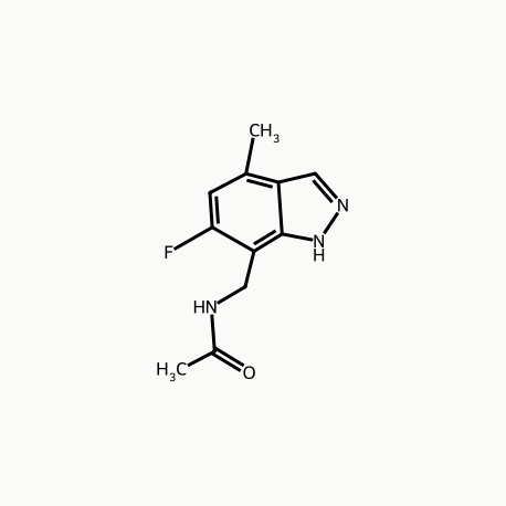 CC(=O)NCc1c(F)cc(C)c2cn[nH]c12